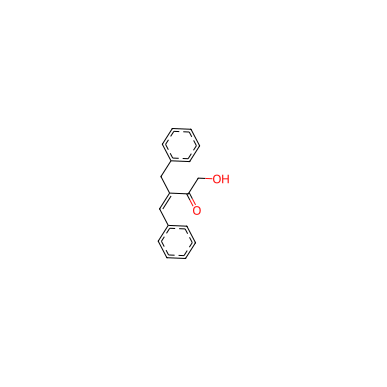 O=C(CO)C(=Cc1ccccc1)Cc1ccccc1